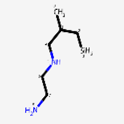 CC(C[SiH3])CNCCN